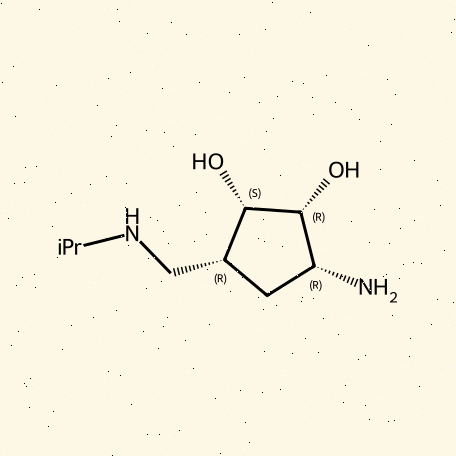 CC(C)NC[C@H]1C[C@@H](N)[C@@H](O)[C@H]1O